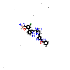 CS(=O)(=O)C(N)c1cc(F)cc(-c2cccc3[nH]c(-c4n[nH]c5ccc(-c6cncc(NC(=O)C7CCCCC7)c6)nc45)cc23)c1